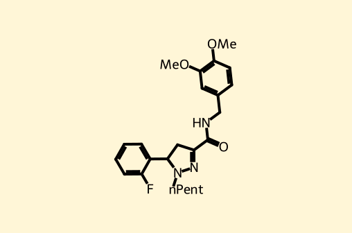 CCCCCN1N=C(C(=O)NCc2ccc(OC)c(OC)c2)CC1c1ccccc1F